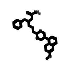 COc1ccc2c(C3COC(CCCN(CC(N)=O)Cc4ccccc4)OC3)cccc2c1